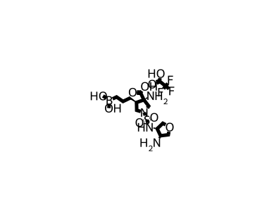 N[C@@H]1COC[C@H]1NS(=O)(=O)N1C[C@@H](CCCB(O)O)[C@@](N)(C(=O)O)C1.O=C(O)C(F)(F)F